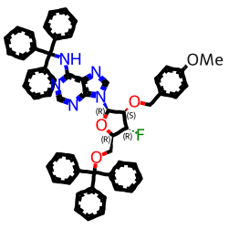 COc1ccc(CO[C@@H]2[C@H](F)[C@@H](COC(c3ccccc3)(c3ccccc3)c3ccccc3)O[C@H]2n2cnc3c(NC(c4ccccc4)(c4ccccc4)c4ccccc4)ncnc32)cc1